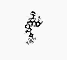 Cc1c(F)cccc1C1N=C(c2nccs2)NC(CN2CCN3C(=O)N(C45CC(NS(N)(=O)=O)(C4)C5)CC3C2)=C1C(=O)O